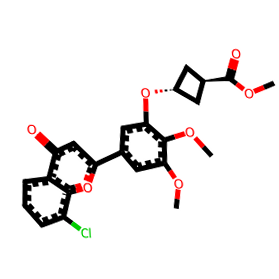 COc1cc(-c2cc(=O)c3cccc(Cl)c3o2)cc(O[C@H]2C[C@H](C(=O)OC)C2)c1OC